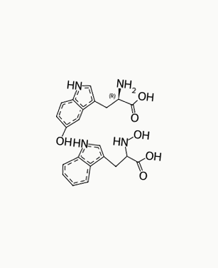 N[C@H](Cc1c[nH]c2ccc(O)cc12)C(=O)O.O=C(O)C(Cc1c[nH]c2ccccc12)NO